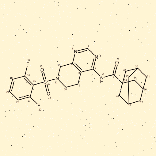 O=C(Nc1ncnc2c1CCN(S(=O)(=O)c1c(F)cccc1F)C2)C12CC3CC(CC(C3)C1)C2